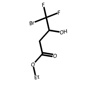 CCOC(=O)CC(O)C(F)(F)Br